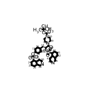 CC(C)(C)OC(=O)N1CCN(C(=O)[C@H](Cc2ccc(OS(=O)(=O)c3cccc4cnccc34)cc2)NS(=O)(=O)c2cccc3cnccc23)CC1